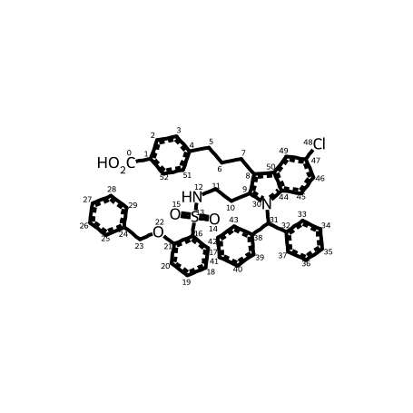 O=C(O)c1ccc(CCCc2c(CCNS(=O)(=O)c3ccccc3OCc3ccccc3)n(C(c3ccccc3)c3ccccc3)c3ccc(Cl)cc23)cc1